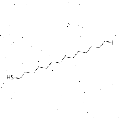 SCCCCCCCCCCCCCCI